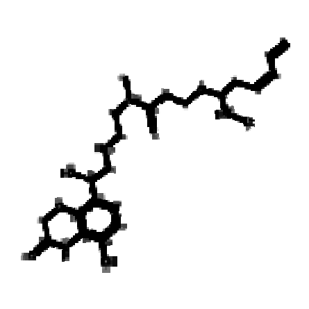 C=C/C=C\CC(NCC)OCCC(=O)N(C)CCNC[C@H](O)c1ccc(O)c2c1OCC(=O)N2